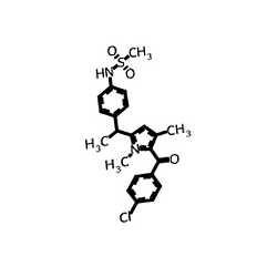 Cc1cc(C(C)c2ccc(NS(C)(=O)=O)cc2)n(C)c1C(=O)c1ccc(Cl)cc1